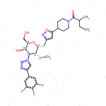 CCC(C)C(=O)N1CCC(c2cc(C[C@H]3O[C@H](CO)[C@H](O)[C@H](n4cc(-c5cc(F)c(F)c(F)c5)nn4)[C@H]3OC)no2)CC1